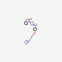 O=C(c1ccc(OCCCCCCN2CCCCC2)cc1)N1CCC(N2C(=O)CCc3ccccc32)CC1